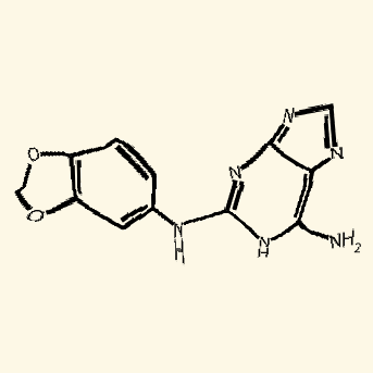 Nc1[nH]c(Nc2ccc3c(c2)OCO3)nc2ncnc1-2